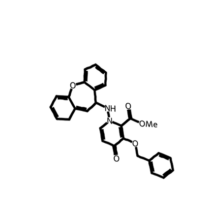 COC(=O)c1c(OCc2ccccc2)c(=O)ccn1NC1C=C2CC=CC=C2Oc2ccccc21